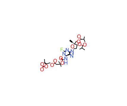 C#C[C@]1(COC(=O)C(C)C)O[C@@H](n2cnc3c(NC(=O)OC(C)(C)CC(=O)OCc4oc(=O)oc4C)nc(F)nc32)C[C@@H]1OC(=O)C(C)C